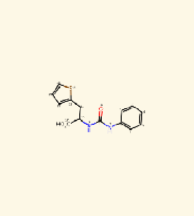 O=C(Nc1ccccc1)NC(Cc1cccs1)C(=O)O